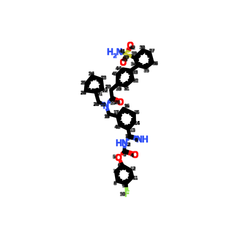 N=C(NC(=O)Oc1ccc(F)cc1)c1cccc(CN(Cc2ccccc2)C(=O)Cc2ccc(-c3ccccc3S(N)(=O)=O)cc2)c1